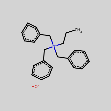 CCC[N+](Cc1ccccc1)(Cc1ccccc1)Cc1ccccc1.[OH-]